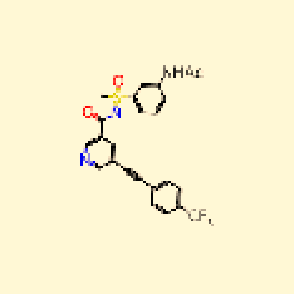 CC(=O)Nc1cccc(S(C)(=O)=NC(=O)c2cncc(C#Cc3ccc(C(F)(F)F)cc3)c2)c1